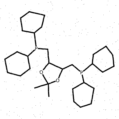 CC1(C)OC(CP(C2CCCCC2)C2CCCCC2)C(CP(C2CCCCC2)C2CCCCC2)O1